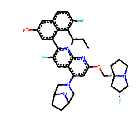 CCC(C)c1c(F)ccc2cc(O)cc(-c3nc4nc(OC[C@@]56CCCN5C[C@H](F)C6)cc(N5CC6CCC(C5)N6)c4cc3F)c12